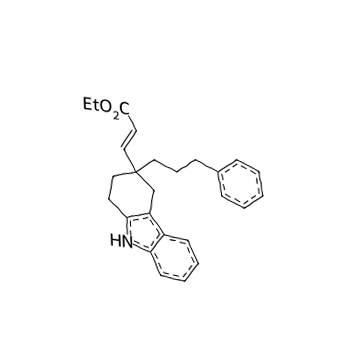 CCOC(=O)C=CC1(CCCc2ccccc2)CCc2[nH]c3ccccc3c2C1